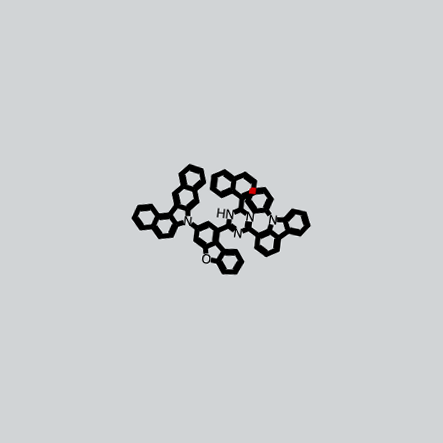 c1ccc(-n2c3ccccc3c3cccc(C4=NC(c5cccc6ccccc56)NC(c5cc(-n6c7cc8ccccc8cc7c7c8ccccc8ccc76)cc6oc7ccccc7c56)=N4)c32)cc1